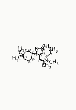 CCCN(C)C(C)=Cc1cn(C)nc1C1CCCC(C)(C)CC1